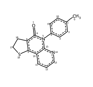 Cc1ccc(-n2c(=O)c3c(c4cccnc42)SCC3)cc1